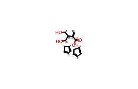 C1=CCC=C1.C1=CCC=C1.C=C(C(=O)O)C(CO)CO